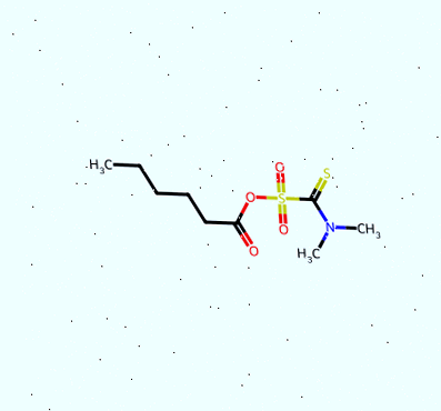 CCCCCC(=O)OS(=O)(=O)C(=S)N(C)C